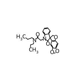 CCCN(CCC)C(=O)CN1C(=O)C2(COc3cc4c(cc32)OCO4)c2ccccc21